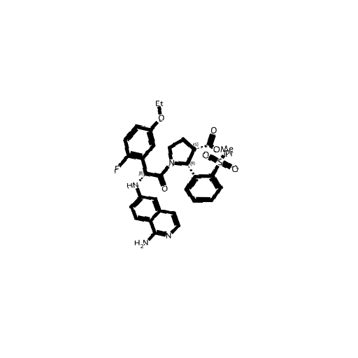 CCOc1ccc(F)c([C@@H](Nc2ccc3c(N)nccc3c2)C(=O)N2CC[C@H](C(=O)OC)[C@@H]2c2ccccc2S(=O)(=O)C(C)C)c1